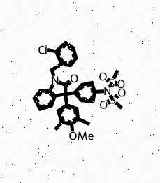 COc1c(C)cc(C2(c3ccc(N(S(C)(=O)=O)S(C)(=O)=O)cc3)C(=O)N(Cc3ccccc3Cl)c3ccccc32)cc1C